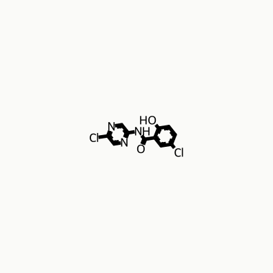 O=C(Nc1cnc(Cl)cn1)c1cc(Cl)ccc1O